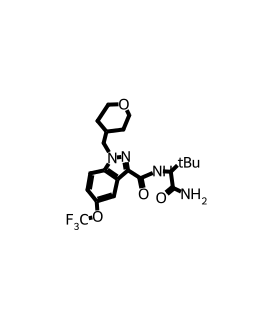 CC(C)(C)C(NC(=O)c1nn(CC2CCOCC2)c2ccc(OC(F)(F)F)cc12)C(N)=O